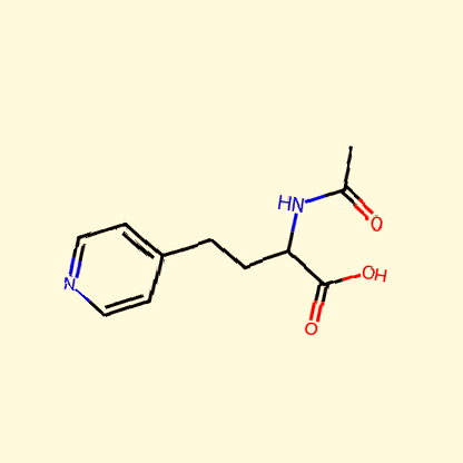 CC(=O)NC(CCc1ccncc1)C(=O)O